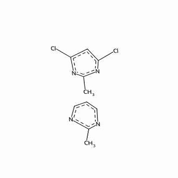 Cc1nc(Cl)cc(Cl)n1.Cc1ncccn1